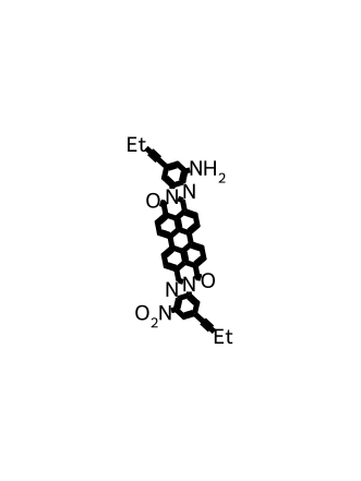 CCC#Cc1cc(N)c2nc3c4ccc5c6ccc7c(=O)n8c9cc(C#CCC)cc([N+](=O)[O-])c9nc8c8ccc(c9ccc(c(=O)n3c2c1)c4c59)c6c78